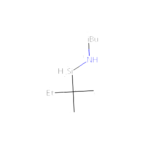 CCC(C)N[SiH2]C(C)(C)CC